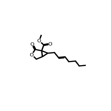 CCCC/C=C/CC1C2COC(=O)C12C(=O)OC